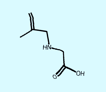 C=C(C)CNCC(=O)O